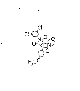 CC12C(=O)N(c3cc(Cl)cc(Cl)c3)C(=O)C1C2(C(=O)N1CCOCC1)c1ccc(OC(F)(F)F)cc1